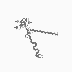 CC/C=C\C/C=C\C/C=C\C/C=C\C/C=C\CCCC(=O)OCC(COC1OC(CO)C(O)C(O)C1O)OC(=O)CCCCCCCCCCCCCCI